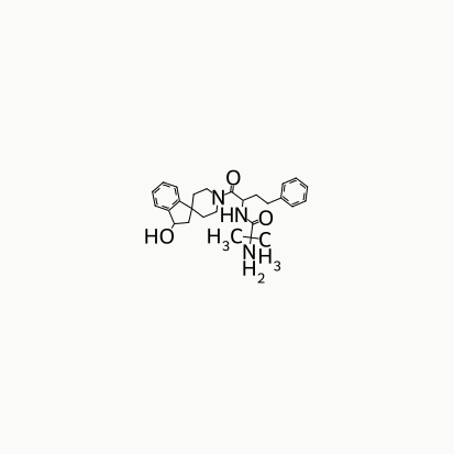 CC(C)(N)C(=O)NC(CCc1ccccc1)C(=O)N1CCC2(CC1)CC(O)c1ccccc12